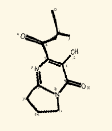 CC(C)C(=O)c1nc2n(c(=O)c1O)CCC2